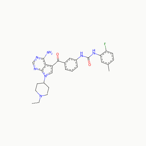 CCN1CCC(n2cc(C(=O)c3cccc(NC(=O)Nc4cc(C)ccc4F)c3)c3c(N)ncnc32)CC1